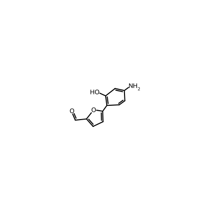 Nc1ccc(-c2ccc(C=O)o2)c(O)c1